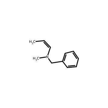 C/C=C\N(C)Cc1ccccc1